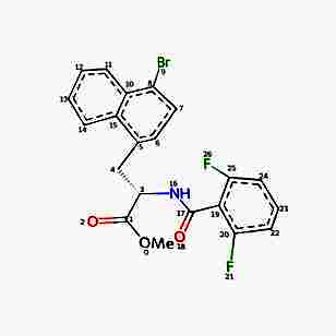 COC(=O)[C@H](Cc1ccc(Br)c2ccccc12)NC(=O)c1c(F)cccc1F